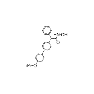 CC(C)Oc1ccc(-c2ccc(C(C(=O)NO)c3ccccc3)cc2)cc1